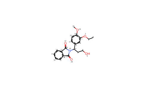 CCOc1cc(C(CCO)N2C(=O)c3ccccc3C2=O)ccc1OC